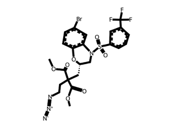 COC(=O)C(CCN=[N+]=[N-])(C[C@H]1CN(S(=O)(=O)c2cccc(C(F)(F)F)c2)c2cc(Br)ccc2O1)C(=O)OC